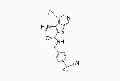 N#CC1(c2ccc(CNC(=O)c3sc4cncc(C5CC5)c4c3N)cc2)CC1